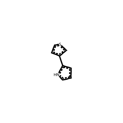 [c]1sccc1-c1ccc[nH]1